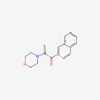 O=C(C(=S)N1CCOCC1)c1ccc2ccccc2c1